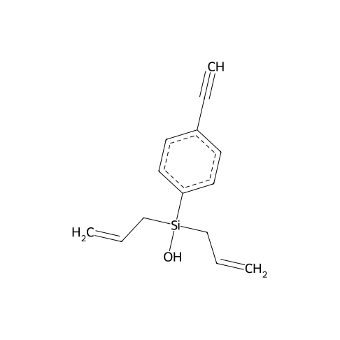 C#Cc1ccc([Si](O)(CC=C)CC=C)cc1